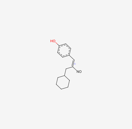 O=N/C(=C/c1ccc(O)cc1)CC1CCCCC1